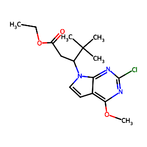 CCOC(=O)CC(n1ccc2c(OC)nc(Cl)nc21)C(C)(C)C